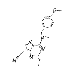 COc1ccc(CN(C)c2nc(SC)nc3c(C#N)cnn23)cc1